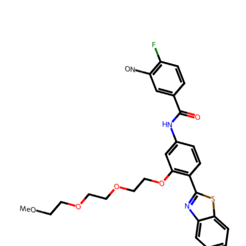 COCCOCCOCCOc1cc(NC(=O)c2ccc(F)c(N=O)c2)ccc1-c1nc2ccccc2s1